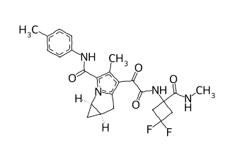 CNC(=O)C1(NC(=O)C(=O)c2c(C)c(C(=O)Nc3ccc(C)cc3)n3c2C[C@H]2C[C@H]23)CC(F)(F)C1